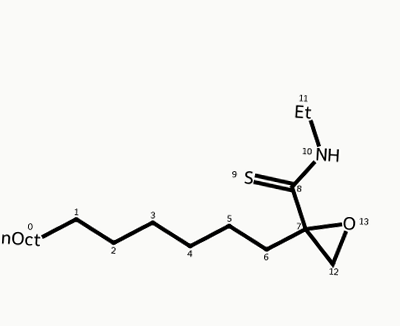 CCCCCCCCCCCCCCC1(C(=S)NCC)CO1